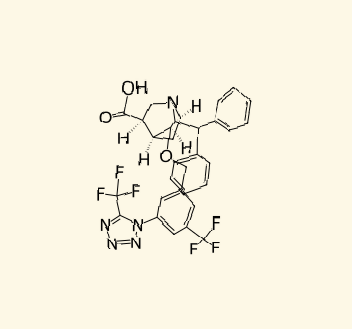 O=C(O)[C@H]1CN2CC[C@@H]1[C@H](OCc1cc(-n3nnnc3C(F)(F)F)cc(C(F)(F)F)c1)[C@@H]2C(c1ccccc1)c1ccccc1